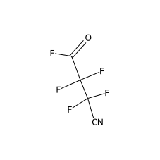 N#CC(F)(F)C(F)(F)C(=O)F